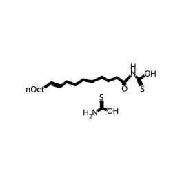 CCCCCCCCC=CCCCCCCCC(=O)NC(O)=S.NC(O)=S